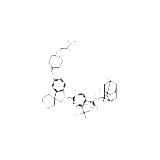 CC(F)(F)c1nc(N2CC3(CCOCC3)c3cc(OC4CCN(CCC(F)(F)F)CC4)ccc32)ncc1C(=O)NC1(C(=O)O)C2CC3CC(C2)CC1C3